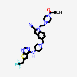 C#CC(=O)N1CCN(CCn2c(C#N)cc3cc(CN4CCC(Nc5ncnc6sc(CC(F)(F)F)cc56)CC4)ccc32)CC1